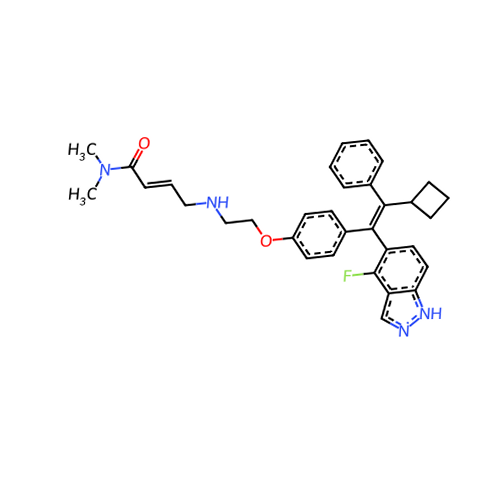 CN(C)C(=O)/C=C/CNCCOc1ccc(/C(=C(\c2ccccc2)C2CCC2)c2ccc3[nH]ncc3c2F)cc1